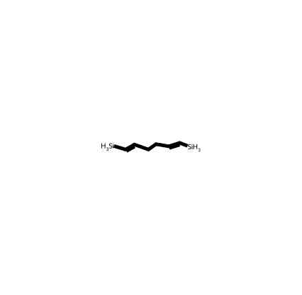 [SiH3]C=CCCC=C[SiH3]